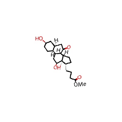 COC(=O)CCC[C@H]1CC[C@H]2[C@@H]3C(=O)C[C@@H]4C[C@H](O)CC[C@]4(C)[C@H]3C[C@H](O)[C@]12C